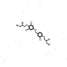 Clc1cc(SOc2cc(Cl)c(OCC(Br)CBr)c(Cl)c2)ccc1OCC(Br)CBr